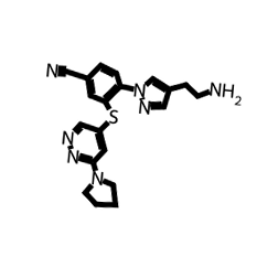 N#Cc1ccc(-n2cc(CCN)cn2)c(Sc2cnnc(N3CCCC3)c2)c1